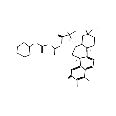 CC1=C(O)C(=O)C=C2C1=CC=C1[C@@]2(C)CC[C@@]2(C)[C@H](CC(C)(C)C(=O)OC(C)OC(=O)OC3CCCCC3)C(C)(C)CC[C@]12C